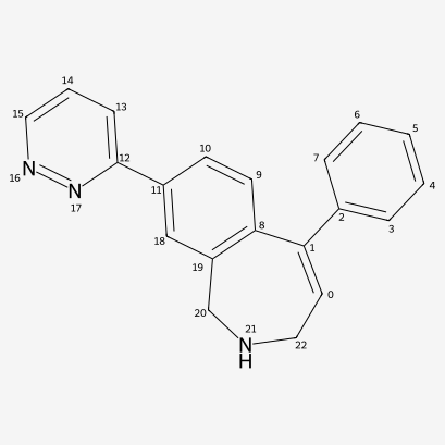 C1=C(c2ccccc2)c2ccc(-c3cccnn3)cc2CNC1